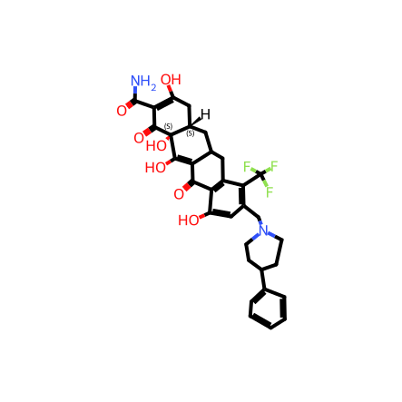 NC(=O)C1=C(O)C[C@@H]2CC3Cc4c(c(O)cc(CN5CCC(c6ccccc6)CC5)c4C(F)(F)F)C(=O)C3=C(O)[C@]2(O)C1=O